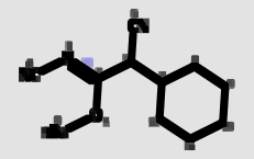 CCCCO/C(=N\C#N)C(C#N)C1CCCCC1